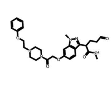 CNC(=O)C(CCC=O)c1nn(C)c2cc(OCC(=O)N3CCN(CCOc4ccccc4)CC3)ccc12